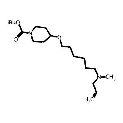 C=CCN(C)CCCCCCOC1CCN(C(=O)OCC(C)C)CC1